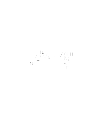 C[C@]1(Cn2cnc3ccc(C#N)cc32)CCCC(CN(Cc2cc(F)ccn2)C(=O)O)C1